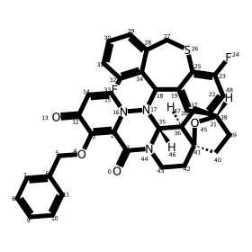 O=C1c2c(OCc3ccccc3)c(=O)ccn2N(C2c3cccc(F)c3SCc3cccc(F)c32)[C@@H]2[C@H]3C[C@@H]4CC[C@@]3(CCN12)O4